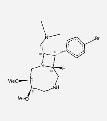 CO[C@H]1CN2[C@H](CN(C)C)[C@H](c3ccc(Br)cc3)[C@@H]2CNC[C@H]1OC